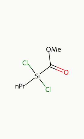 CCC[Si](Cl)(Cl)C(=O)OC